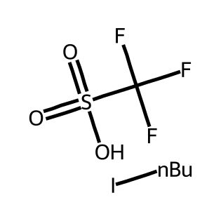 CCCCI.O=S(=O)(O)C(F)(F)F